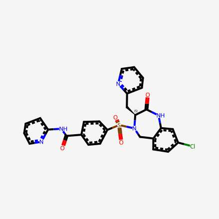 O=C(Nc1ccccn1)c1ccc(S(=O)(=O)N2Cc3ccc(Cl)cc3NC(=O)[C@@H]2Cc2ccccn2)cc1